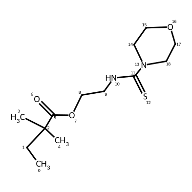 CCC(C)(C)C(=O)OCCNC(=S)N1CCOCC1